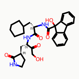 O=C1NCC[C@@H]1C[C@H](NC(=O)[C@H](CC1CCCCC1)NC(=O)C1(O)c2ccccc2-c2ccccc21)C(=O)CO